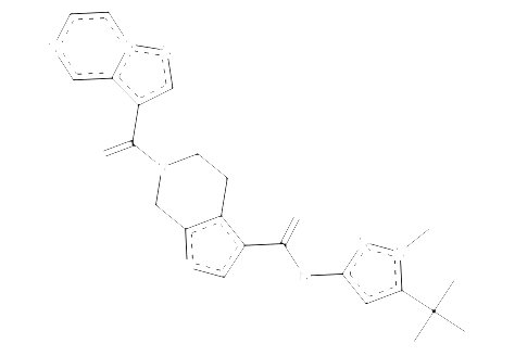 Cn1nc(NC(=O)c2csc3c2CCN(C(=O)c2cnn4ccncc24)C3)cc1C(C)(C)C